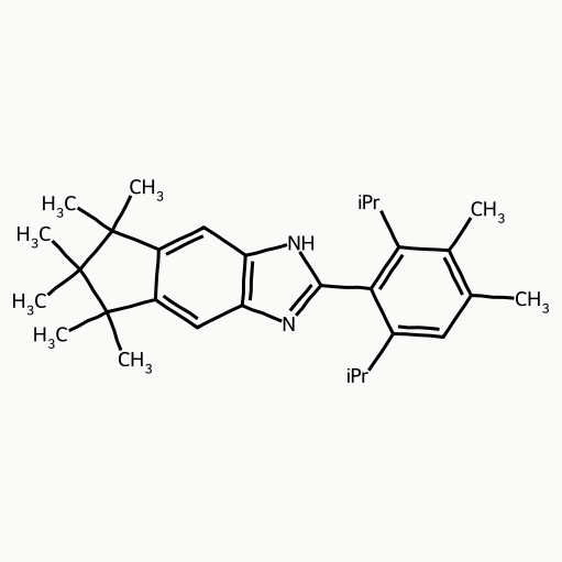 Cc1cc(C(C)C)c(-c2nc3cc4c(cc3[nH]2)C(C)(C)C(C)(C)C4(C)C)c(C(C)C)c1C